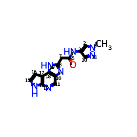 Cn1cc(NC(=O)Cc2nc3cnc4[nH]ccc4c3[nH]2)cn1